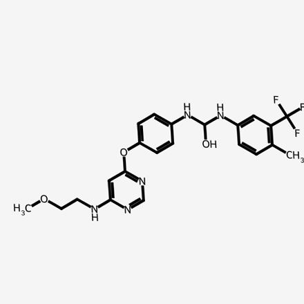 COCCNc1cc(Oc2ccc(NC(O)Nc3ccc(C)c(C(F)(F)F)c3)cc2)ncn1